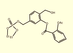 CCOP(=O)(OCC)OCc1ccc(CO)c(OC(=O)c2ccccc2OC(C)=O)c1